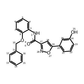 O=C(Nc1ccccc1OCc1ccccc1)c1cc(-c2cccc(O)c2)on1